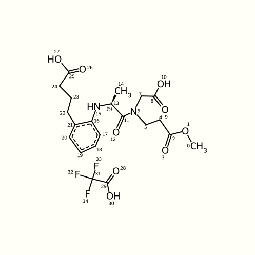 COC(=O)CCN(CC(=O)O)C(=O)[C@H](C)Nc1ccccc1CCCC(=O)O.O=C(O)C(F)(F)F